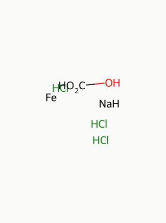 Cl.Cl.Cl.O=C(O)O.[Fe].[NaH]